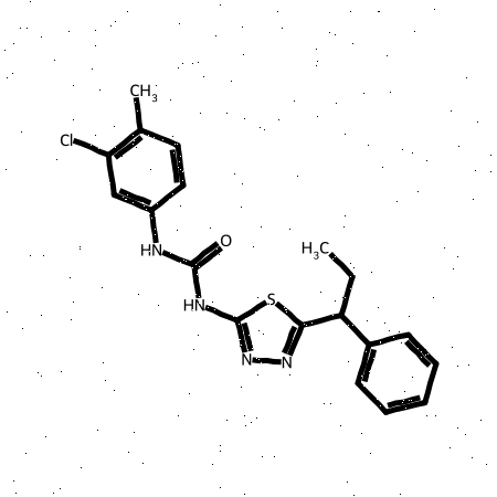 CCC(c1ccccc1)c1nnc(NC(=O)Nc2ccc(C)c(Cl)c2)s1